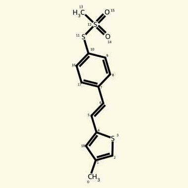 Cc1csc(C=Cc2ccc(SS(C)(=O)=O)cc2)c1